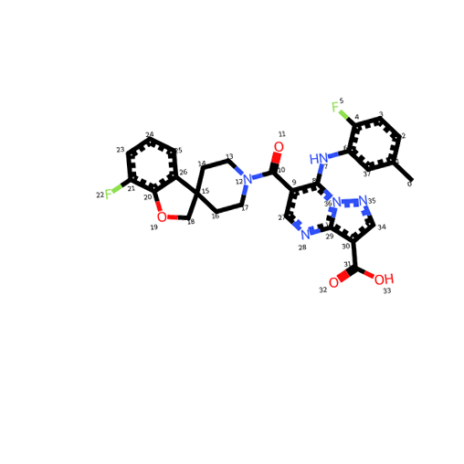 Cc1ccc(F)c(Nc2c(C(=O)N3CCC4(CC3)COc3c(F)cccc34)cnc3c(C(=O)O)cnn23)c1